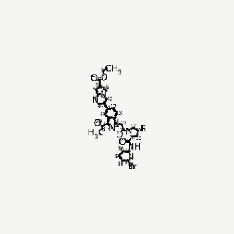 CCOC(=O)c1cc2ncc(-c3ccc4c(c3)c(C(C)=O)nn4CC(=O)N3C[C@H](F)C[C@H]3C(=O)Nc3cccc(Br)n3)cn2n1